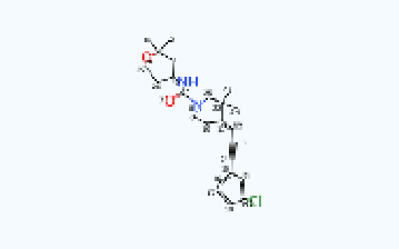 CC1(C)CC(NC(=O)N2CC/C(=C\C#Cc3cccc(Cl)c3)C(C)(C)C2)CCO1